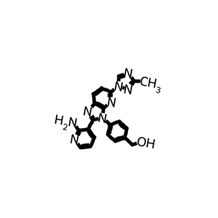 Cc1ncn(-c2ccc3nc(-c4cccnc4N)n(-c4ccc(CO)cc4)c3n2)n1